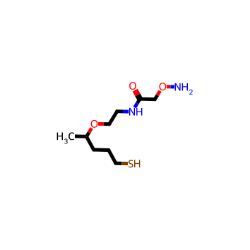 CC(CCCS)OCCNC(=O)CON